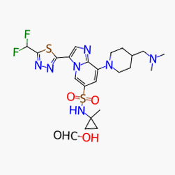 CN(C)CC1CCN(c2cc(S(=O)(=O)NC3(C)CC3)cn3c(-c4nnc(C(F)F)s4)cnc23)CC1.O=CO